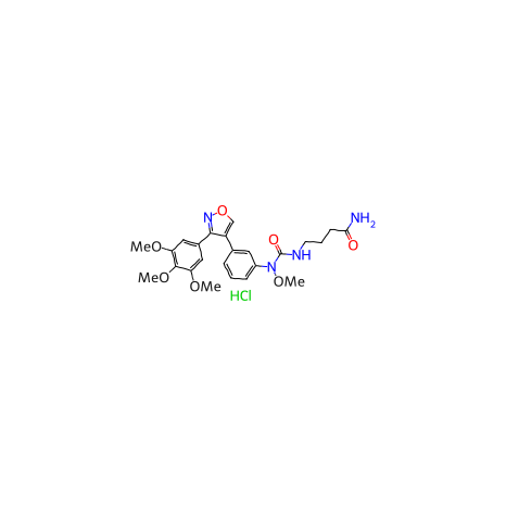 COc1cc(-c2nocc2-c2cccc(N(OC)C(=O)NCCCC(N)=O)c2)cc(OC)c1OC.Cl